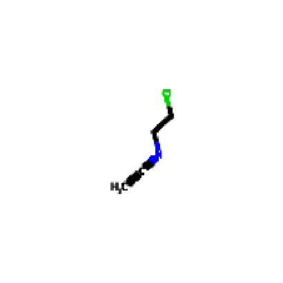 C=C=NCCCl